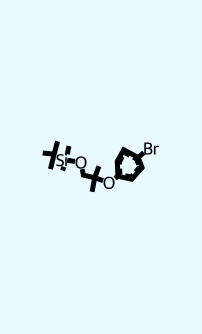 CC(C)(CO[Si](C)(C)C(C)(C)C)Oc1ccc(Br)cc1